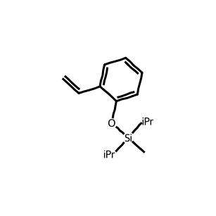 C=Cc1ccccc1O[Si](C)(C(C)C)C(C)C